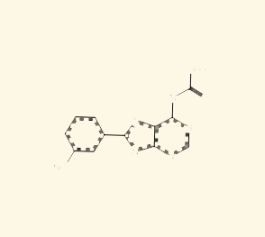 CCCCC(=O)Nc1ncnc2[nH]c(-c3cccc(C#N)c3)nc12